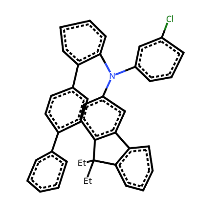 CCC1(CC)c2ccccc2-c2cc(N(c3cccc(Cl)c3)c3ccccc3-c3ccc(-c4ccccc4)cc3)ccc21